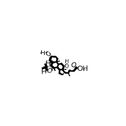 C[C@H](CCC(=O)O)[C@H]1CCC2C3C(C[C@H](O)[C@@]21C)[C@@]1(C)CC[C@@H](O)C[C@H]1[C@@H](C(C)(C)C)[C@@]3(C)O